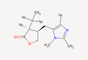 [2H]c1nc(C)n(C)c1C[C@H]1COC(=O)[C@@]1([2H])C([2H])([2H])C